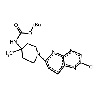 CC1(NC(=O)OC(C)(C)C)CCN(c2ccc3nc(Cl)cnc3n2)CC1